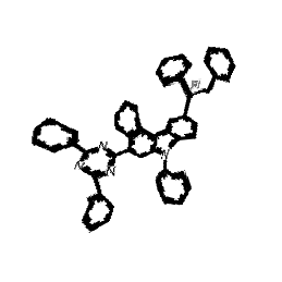 c1ccc(C[C@H](c2ccccc2)c2ccc3c(c2)c2c4ccccc4c(-c4nc(-c5ccccc5)nc(-c5ccccc5)n4)cc2n3-c2ccccc2)cc1